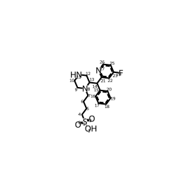 O=S(=O)(O)CCCCN1CCNCC1C(c1ccccc1)c1cc(F)ccn1